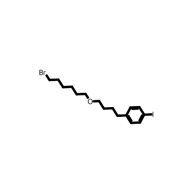 BrCCCCCCOCCCCc1ccc(I)cc1